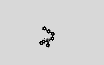 C[Si]1(C)c2cc3ccccc3cc2-c2c(-c3ccccc3)nc(-c3cccc(-c4cccc(-c5ccc(-c6ccccc6)cc5)c4)c3)nc21